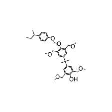 CCC(C)c1ccc(OCOc2c(COC)cc(C(C)(C)c3cc(COC)c(O)c(COC)c3)cc2COC)cc1